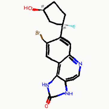 O=c1[nH]c2cnc3cc([C@]4(F)CC[C@H](O)C4)c(Br)cc3c2[nH]1